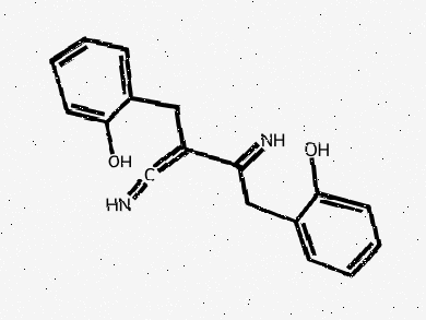 N=C=C(Cc1ccccc1O)C(=N)Cc1ccccc1O